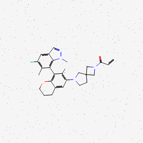 C=CC(=O)N1CC2(CCN(c3cc4c(c(-c5c(C)c(Cl)cc6cnn(C)c56)c3C#N)OCCC4)C2)C1